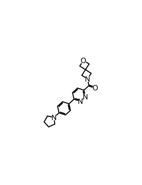 O=C(c1ccc(-c2ccc(N3CCCC3)cc2)nn1)N1CC2(COC2)C1